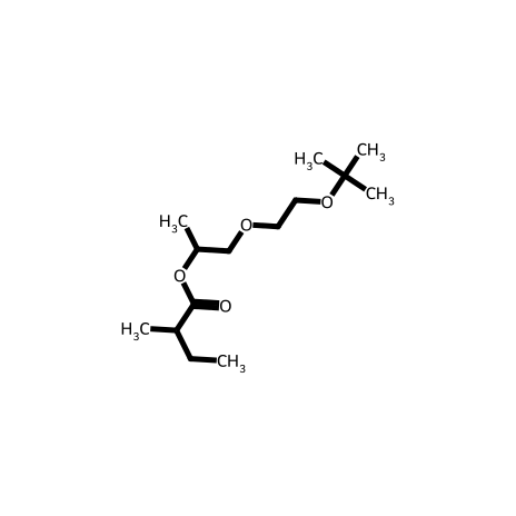 CCC(C)C(=O)OC(C)COCCOC(C)(C)C